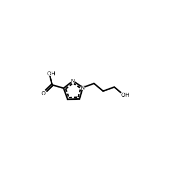 O=C(O)c1ccn(CCCO)n1